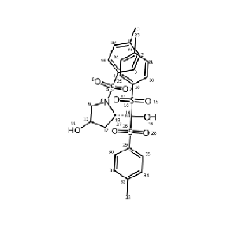 Cc1ccc(S(=O)(=O)N2CC(O)C[C@H]2C(O)(S(=O)(=O)c2ccc(C)cc2)S(=O)(=O)c2ccc(C)cc2)cc1